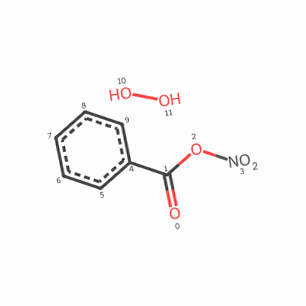 O=C(O[N+](=O)[O-])c1ccccc1.OO